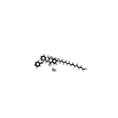 CCCCCCCCCCCCCCOc1ccc(C(=O)N(Cc2cccc[n+]2Cc2ccccc2)C(C)=O)cc1.[Br-]